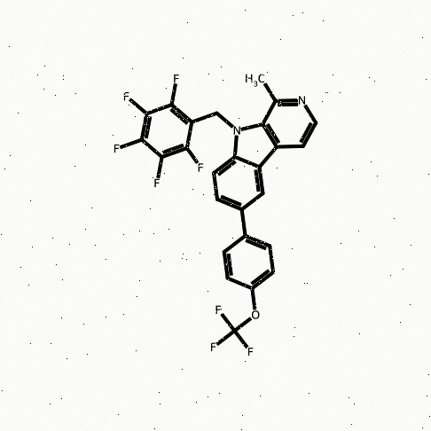 Cc1nccc2c3cc(-c4ccc(OC(F)(F)F)cc4)ccc3n(Cc3c(F)c(F)c(F)c(F)c3F)c12